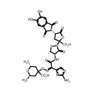 C[C@@H]1CC(O/N=C(\C(=O)N[C@H]2CON(C3(C(=O)O)C[C@H](N4C(=O)c5cc(O)c(O)cc5C4=O)C(=O)O3)C2=O)c2csc(N)n2)(C(=O)O)C[C@@H](C)O1